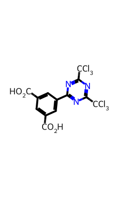 O=C(O)c1cc(C(=O)O)cc(-c2nc(C(Cl)(Cl)Cl)nc(C(Cl)(Cl)Cl)n2)c1